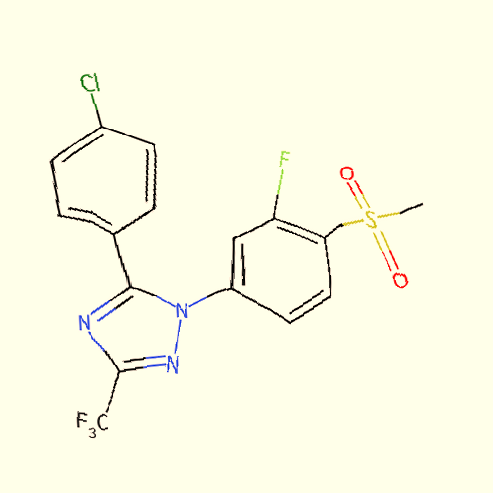 CS(=O)(=O)c1ccc(-n2nc(C(F)(F)F)nc2-c2ccc(Cl)cc2)cc1F